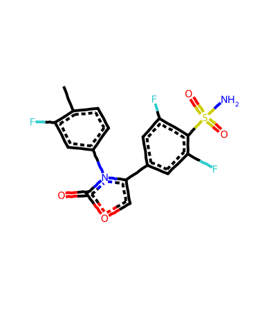 Cc1ccc(-n2c(-c3cc(F)c(S(N)(=O)=O)c(F)c3)coc2=O)cc1F